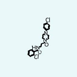 O=C(NCCC(=O)N1CCN(c2ccc(Cl)cc2)CC1)c1ccccc1Cl